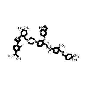 CC(CO)c1ccc(-c2csc(C3=C(CN4CCN(c5ccc(C(=O)NS(=O)(=O)c6ccc(NCC7CCC(C)(O)CC7)c([N+](=O)[O-])c6)c(Oc6cnc7[nH]ccc7c6)c5)CC4)CCC(C)(C)C3)c2)c(F)c1